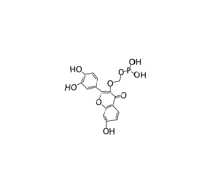 O=c1c(OCOP(O)O)c(-c2ccc(O)c(O)c2)oc2cc(O)ccc12